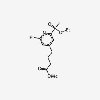 CCOP(C)(=O)c1cc(CCCC(=O)OC)cc(CC)n1